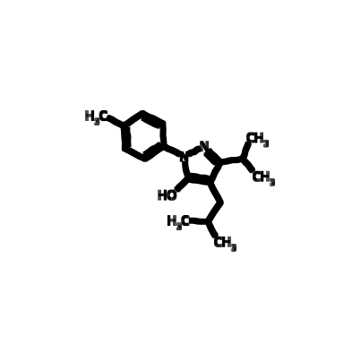 Cc1ccc(-n2nc(C(C)C)c(CC(C)C)c2O)cc1